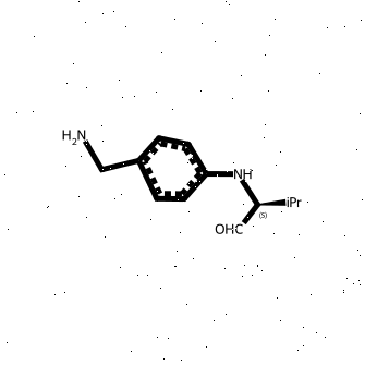 CC(C)[C@@H](C=O)Nc1ccc(CN)cc1